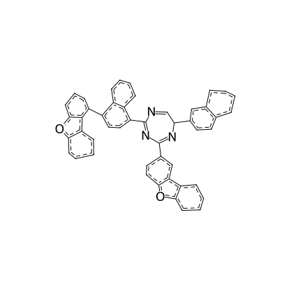 C1=NC(c2ccc(-c3cccc4oc5ccccc5c34)c3ccccc23)=NC(c2ccc3oc4ccccc4c3c2)=NC1c1ccc2ccccc2c1